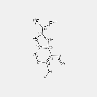 C=Cc1c(CC)ccc2sc(C(F)F)cc12